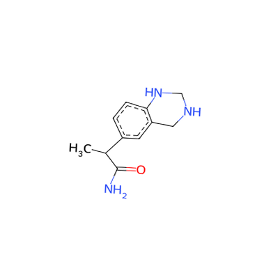 CC(C(N)=O)c1ccc2c(c1)CNCN2